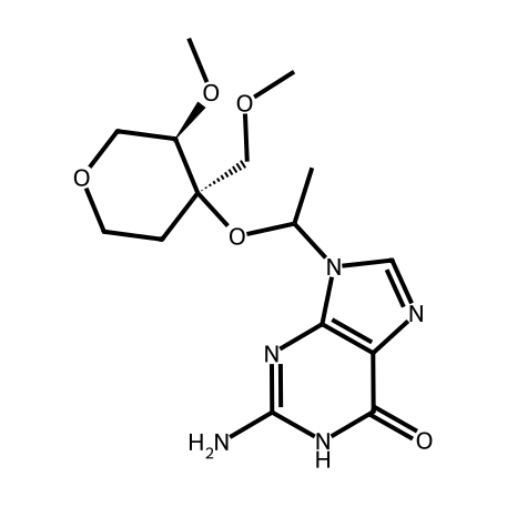 COC[C@]1(OC(C)n2cnc3c(=O)[nH]c(N)nc32)CCOC[C@H]1OC